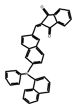 O=C1C(=Cc2ccc3cc(N(c4ccccc4)c4cccc5ccccc45)ccc3c2)C(=O)c2ccccc21